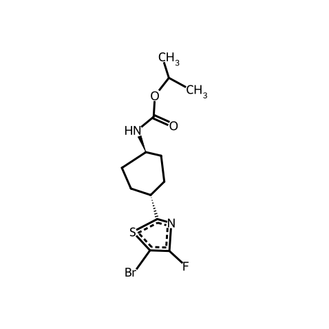 CC(C)OC(=O)N[C@H]1CC[C@H](c2nc(F)c(Br)s2)CC1